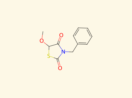 COC1SC(=O)N(Cc2ccccc2)C1=O